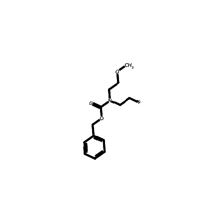 COCCN(CCF)C(=O)OCc1ccccc1